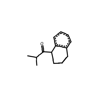 CC(C)C(=O)C1CCCc2ccccc21